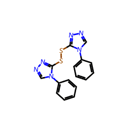 c1ccc(-n2cnnc2SSc2nncn2-c2ccccc2)cc1